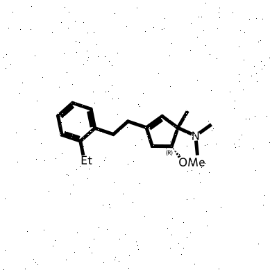 CCc1ccccc1CCC1=CC(C)(N(C)C)[C@H](OC)C1